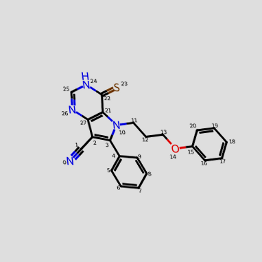 N#Cc1c(-c2ccccc2)n(CCCOc2ccccc2)c2c(=S)[nH]cnc12